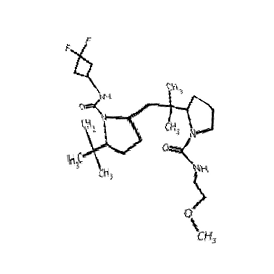 COCCNC(=O)N1CCCC1C(C)(C)CC1CCC(C(C)(C)C)N1C(=O)NC1CC(F)(F)C1